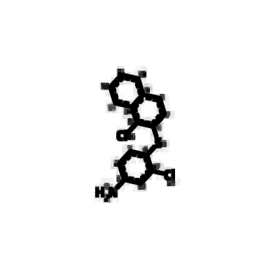 Nc1ccc(Sc2ccc3ccccc3c2Cl)c(Cl)c1